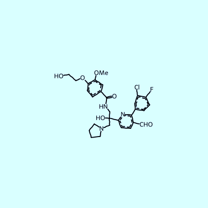 COc1cc(C(=O)NCC(O)(CN2CCCC2)c2ccc(C=O)c(-c3ccc(F)c(Cl)c3)n2)ccc1OCCO